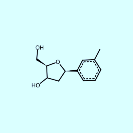 Cc1cccc([C@H]2CC(O)[C@@H](CO)O2)c1